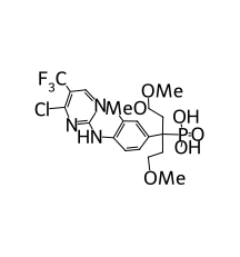 COCCC(CCOC)(c1ccc(Nc2ncc(C(F)(F)F)c(Cl)n2)c(OC)c1)P(=O)(O)O